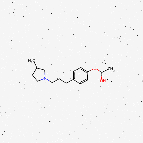 CC1CCN(CCCc2ccc(OC(C)O)cc2)C1